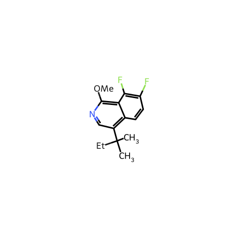 CCC(C)(C)c1cnc(OC)c2c(F)c(F)ccc12